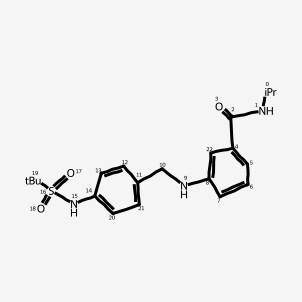 CC(C)NC(=O)c1cccc(NCc2ccc(NS(=O)(=O)C(C)(C)C)cc2)c1